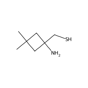 CC1(C)CC(N)(CS)C1